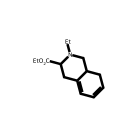 CCOC(=O)C1CC2=CC=CCC2CN1CC